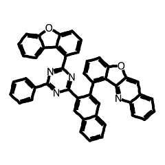 c1ccc(-c2nc(-c3cc4ccccc4cc3-c3cccc4oc5cc6ccccc6nc5c34)nc(-c3cccc4oc5ccccc5c34)n2)cc1